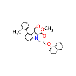 COC(=O)c1c(C=O)c2c(-c3ccccc3C)cccc2n1CCCOc1cccc2ccccc12